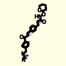 [N-]=[N+]=NCc1ccc(C(=O)/C=C/c2ccc(/C=C/C(=O)NOC3CCCCO3)cc2)cc1